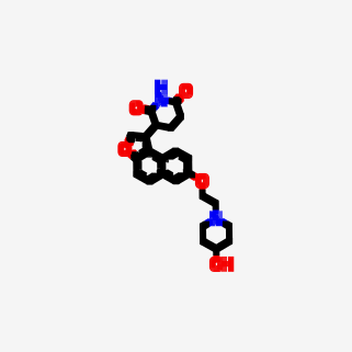 O=C1CCC(c2coc3ccc4cc(OCCN5CCC(O)CC5)ccc4c23)C(=O)N1